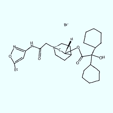 CCc1cc(NC(=O)C[N+]23CCC(CC2)[C@@H](OC(=O)C(O)(C2CCCCC2)C2CCCCC2)C3)no1.[Br-]